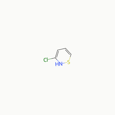 ClC1=CC=CSN1